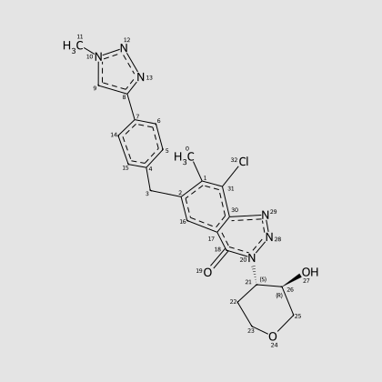 Cc1c(Cc2ccc(-c3cn(C)nn3)cc2)cc2c(=O)n([C@H]3CCOC[C@@H]3O)nnc2c1Cl